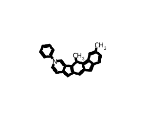 Cc1ccc2c(c1)=C1C(=Cc3cc4ccn(-c5ccccc5)cc-4c3C1C)C=2